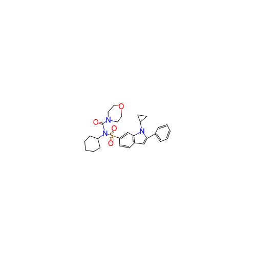 O=C(N1CCOCC1)N(C1CCCCC1)S(=O)(=O)c1ccc2cc(-c3ccccc3)n(C3CC3)c2c1